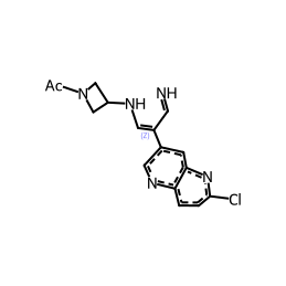 CC(=O)N1CC(N/C=C(\C=N)c2cnc3ccc(Cl)nc3c2)C1